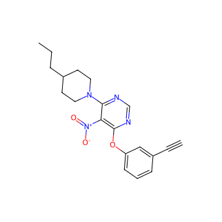 C#Cc1cccc(Oc2ncnc(N3CCC(CCC)CC3)c2[N+](=O)[O-])c1